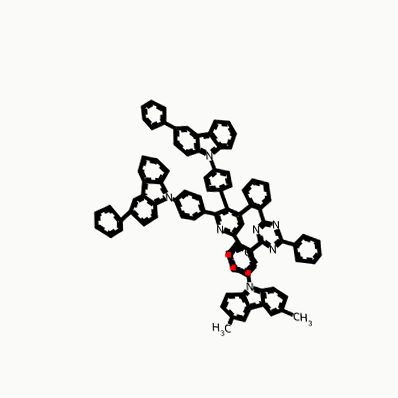 Cc1ccc2c(c1)c1cc(C)ccc1n2-c1ccc(-c2cc(-c3ccccc3-c3nc(-c4ccccc4)nc(-c4ccccc4)n3)c(-c3ccc(-n4c5ccccc5c5cc(-c6ccccc6)ccc54)cc3)c(-c3ccc(-n4c5ccccc5c5cc(-c6ccccc6)ccc54)cc3)n2)cc1